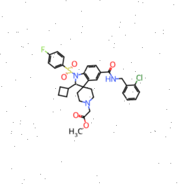 COC(=O)CN1CCC2(CC1)c1cc(C(=O)NCc3ccccc3Cl)ccc1N(S(=O)(=O)c1ccc(F)cc1)C2C1CCC1